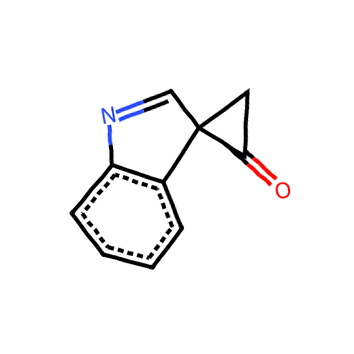 O=C1CC12C=Nc1ccccc12